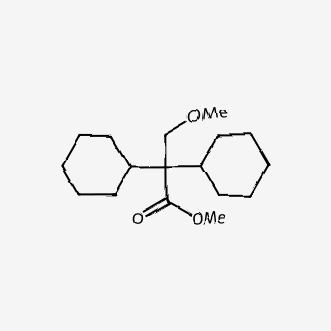 COCC(C(=O)OC)(C1CCCCC1)C1CCCCC1